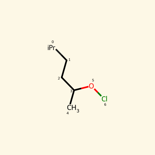 CC(C)CCC(C)OCl